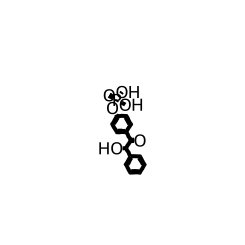 O=C(c1ccc(OP(=O)(O)O)cc1)C(O)c1ccccc1